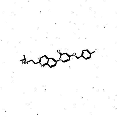 CC(C)NCCc1ccc2cc(-n3ccc(OCc4ccc(F)cc4)cc3=O)ccc2n1